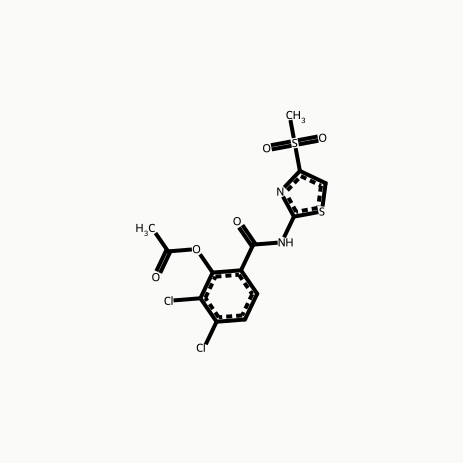 CC(=O)Oc1c(C(=O)Nc2nc(S(C)(=O)=O)cs2)ccc(Cl)c1Cl